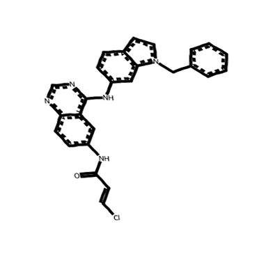 O=C(/C=C/Cl)Nc1ccc2ncnc(Nc3ccc4ccn(Cc5ccccc5)c4c3)c2c1